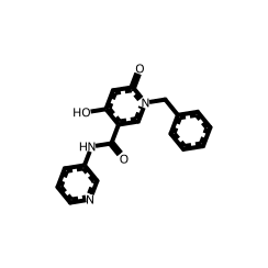 O=C(Nc1cccnc1)c1cn(Cc2ccccc2)c(=O)cc1O